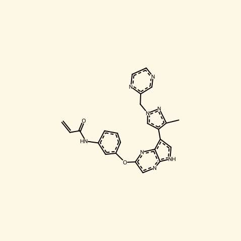 C=CC(=O)Nc1cccc(Oc2cnc3[nH]cc(-c4cn(Cc5cnccn5)nc4C)c3n2)c1